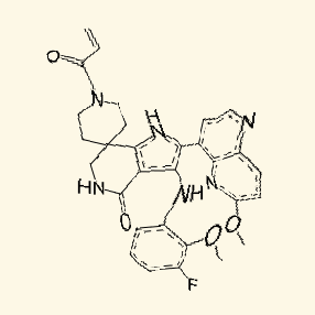 C=CC(=O)N1CCC2(CC1)CNC(=O)c1c2[nH]c(-c2ccnc3ccc(OC)nc23)c1Nc1cccc(F)c1OC